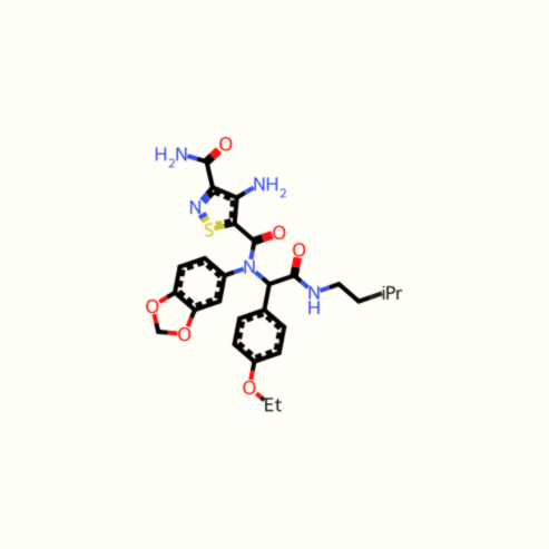 CCOc1ccc(C(C(=O)NCCC(C)C)N(C(=O)c2snc(C(N)=O)c2N)c2ccc3c(c2)OCO3)cc1